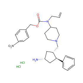 C=CCN(C(=O)OCc1ccc([N+](=O)[O-])cc1)C1CCN(C[C@H]2C[C@@H](N)C[C@@H]2c2ccccc2)CC1.Cl.Cl